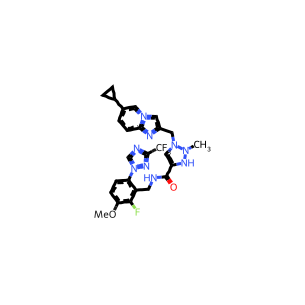 COc1ccc(-n2cnc(C(F)(F)F)n2)c(CNC(=O)C2=CN(Cc3cn4cc(C5CC5)ccc4n3)N(C)N2)c1F